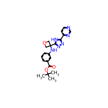 CC(C)(C)OC(=O)c1cccc(NC2(c3nnc(-c4ccncn4)[nH]3)COC2)c1